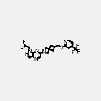 FC(F)Cn1ncc2ncc(N3CC4(CC(COc5cc(C(F)(F)F)ccn5)C4)C3)nc21